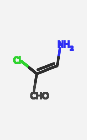 NC=C(Cl)C=O